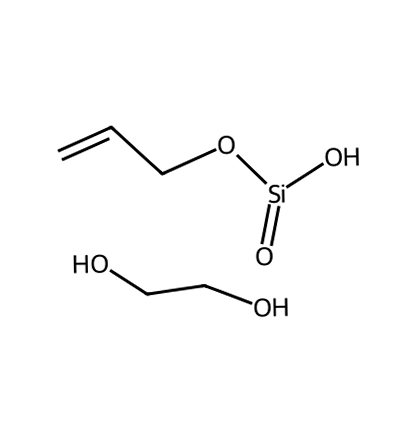 C=CCO[Si](=O)O.OCCO